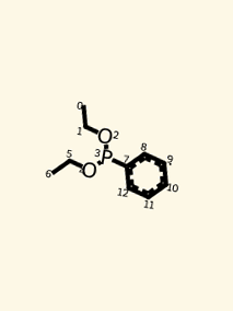 CCOP(OCC)c1c[c]ccc1